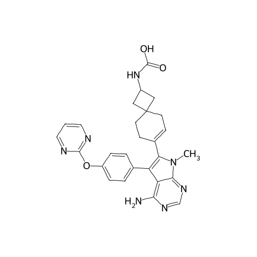 Cn1c(C2=CCC3(CC2)CC(NC(=O)O)C3)c(-c2ccc(Oc3ncccn3)cc2)c2c(N)ncnc21